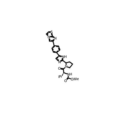 COC(=O)N[C@H](C(=O)N1CCCC1c1ncc(-c2ccc(-c3cn4ccsc4n3)cc2)[nH]1)C(C)C